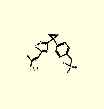 C/C(=C\c1nc(C2(c3ccc(CS(F)(F)F)cc3)CC2)no1)C(=O)O